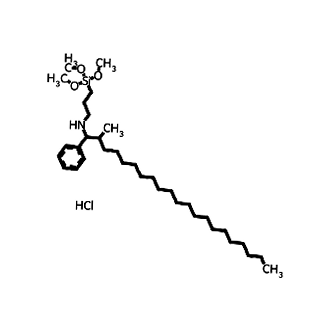 CCCCCCCCCCCCCCCCCCCC(C)C(NCCC[Si](OC)(OC)OC)c1ccccc1.Cl